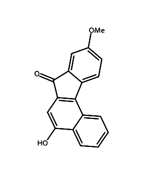 COc1ccc2c(c1)C(=O)c1cc(O)c3ccccc3c1-2